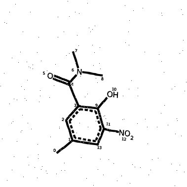 Cc1cc(C(=O)N(C)C)c(O)c([N+](=O)[O-])c1